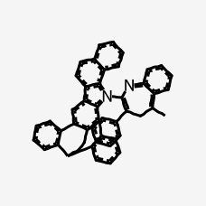 CC1=c2ccccc2=NC(n2c3c4c5c(cc3c3ccc6ccccc6c32)-c2ccccc2C(CC5)c2ccccc2-4)=C(c2ccccc2)C1